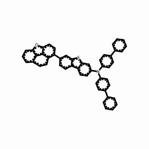 c1ccc(-c2ccc(N(c3ccc(-c4ccccc4)cc3)c3ccc4c(c3)sc3cc(-c5ccc6oc7cccc8ccc5c6c87)ccc34)cc2)cc1